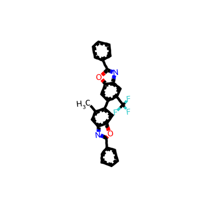 Cc1cc2nc(-c3ccccc3)oc2cc1-c1cc2oc(-c3ccccc3)nc2cc1C(F)(F)F